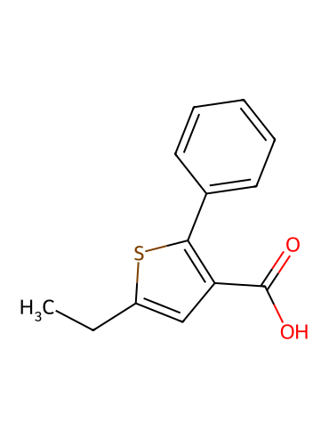 CCc1cc(C(=O)O)c(-c2ccccc2)s1